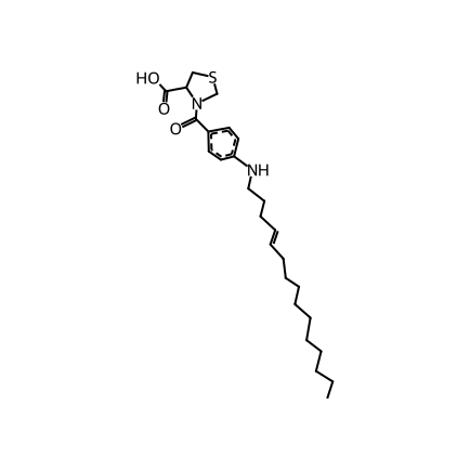 CCCCCCCCCCC=CCCCNc1ccc(C(=O)N2CSCC2C(=O)O)cc1